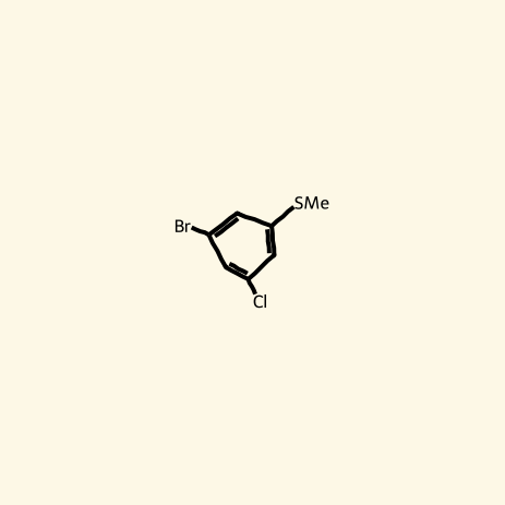 CSc1cc(Cl)cc(Br)c1